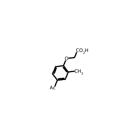 CC(=O)c1ccc(OCC(=O)O)c(C)c1